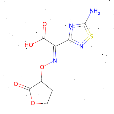 Nc1nc(C(=NOC2CCOC2=O)C(=O)O)ns1